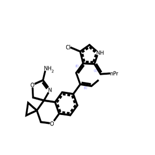 C\C=C(/C=c1/c(Cl)c[nH]/c1=C\CCC)c1ccc2c(c1)C1(COC(N)=N1)C1(CC1)CO2